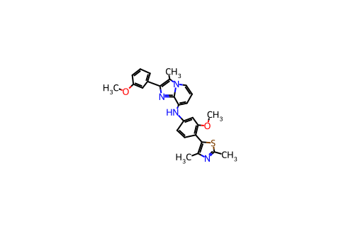 COc1cccc(-c2nc3c(Nc4ccc(-c5sc(C)nc5C)c(OC)c4)cccn3c2C)c1